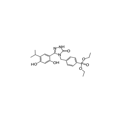 CCOP(=O)(OCC)c1ccc(Cn2c(-c3cc(C(C)C)c(O)cc3O)n[nH]c2=O)cc1